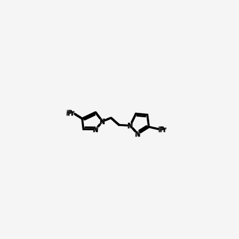 CC(C)c1cnn(CCn2ccc(C(C)C)n2)c1